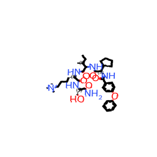 CC[C@H](C)C(NC(=O)[C@@H](NC(=O)c1ccc(Oc2ccccc2)cc1)C1CCCC1)C(=O)N[C@@H](CCCC[N+](C)(C)C)C(=O)N[C@@H](CO)C(N)=O